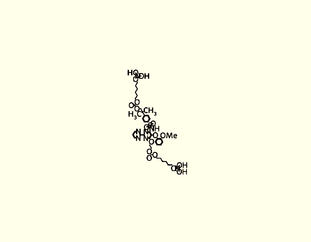 COc1ccccc1Oc1c(NS(=O)(=O)c2ccc(C(C)(C)COC(=O)OCCCCCCON(O)O)cc2)nc(-c2ncccn2)nc1OCCOC(=O)OCCCCCCON(O)O